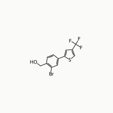 OCc1ccc(-c2cc(C(F)(F)F)cs2)cc1Br